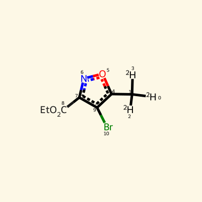 [2H]C([2H])([2H])c1onc(C(=O)OCC)c1Br